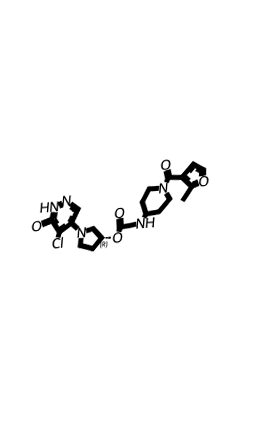 Cc1occc1C(=O)N1CCC(NC(=O)O[C@@H]2CCN(c3cn[nH]c(=O)c3Cl)C2)CC1